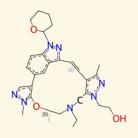 CCN1Cc2c(c(C)nn2CCO)/C=C\c2nn(C3CCCCO3)c3ccc(cc23)-c2cnn(C)c2O[C@@H](C)C1